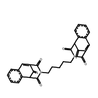 O=C1C2=Cc3ccccc3C(C(=O)N1CCCCCN1C(=O)C3=Cc4ccccc4C(C1=O)C3=S)C2=S